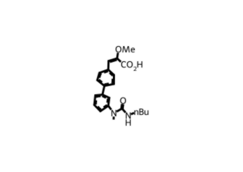 CCCCNC(=O)N(C)c1cccc(-c2ccc(C=C(OC)C(=O)O)cc2)c1